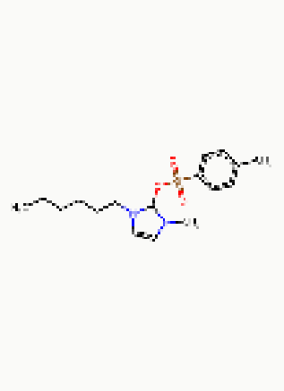 CCCCCCN1C=CN(C)C1OS(=O)(=O)c1ccc(C)cc1